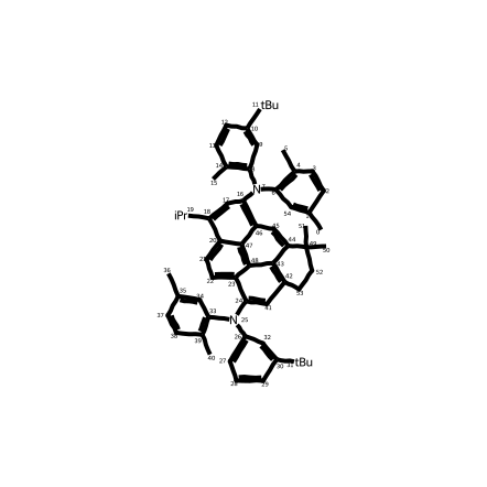 Cc1ccc(C)c(N(c2cc(C(C)(C)C)ccc2C)c2cc(C(C)C)c3ccc4c(N(c5cccc(C(C)(C)C)c5)c5cc(C)ccc5C)cc5c6c(cc2c3c46)C(C)(C)CC5)c1